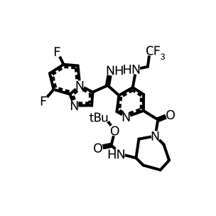 CC(C)(C)OC(=O)NC1CCCCN(C(=O)c2cc(NCC(F)(F)F)c(C(=N)c3cnc4c(F)cc(F)cn34)cn2)C1